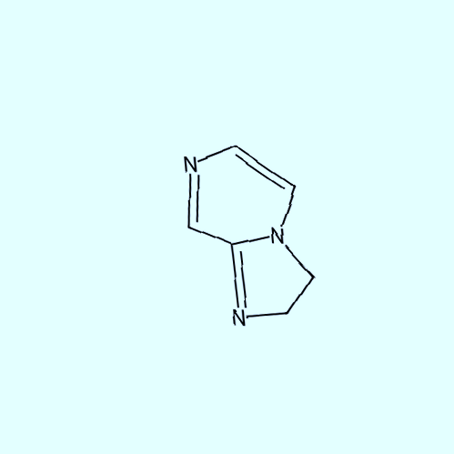 C1=CN2CCN=C2C=N1